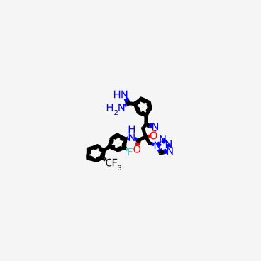 N=C(N)c1cccc(C2=NOC(Cn3cnnn3)(C(=O)Nc3ccc(-c4ccccc4C(F)(F)F)cc3F)C2)c1